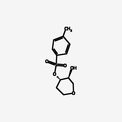 Cc1ccc(S(=O)(=O)O[C@H]2CCOC[C@@H]2O)cc1